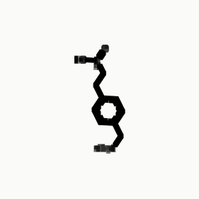 CCCCCCCCc1ccc(CC[PH](=O)O)cc1